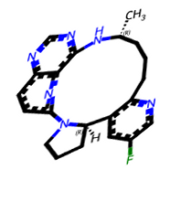 C[C@@H]1CCCc2ncc(F)cc2[C@H]2CCCN2c2ccc3ncnc(c3n2)N1